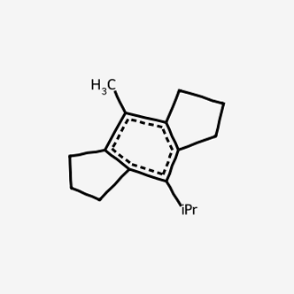 Cc1c2c(c(C(C)C)c3c1CCC3)CCC2